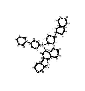 c1ccc(-c2ccc(N(c3ccc(-c4ccc5ccccc5c4)cc3)c3cc4c5ccccc5oc4c4ccccc34)cc2)cc1